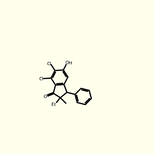 CCC1(C)C(=O)c2c(cc(O)c(Cl)c2Cl)C1c1ccccc1